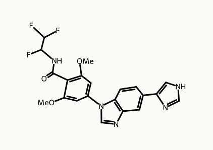 COc1cc(-n2cnc3cc(-c4c[nH]cn4)ccc32)cc(OC)c1C(=O)NC(F)C(F)F